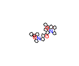 c1ccc(-c2ccccc2N(c2cccc3c2ccc2c3oc3cc(N(c4ccccc4-c4ccccc4)c4cccc5c4oc4ccccc45)c4ccccc4c32)c2cccc3c2oc2ccccc23)cc1